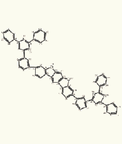 c1ccc(-c2cc(-c3cccc(-c4ccc5c(c4)oc4cc6oc7cc(-c8cccc(-c9cc(-c%10ccccc%10)nc(-c%10ccccc%10)n9)c8)ccc7c6cc45)c3)nc(-c3ccccc3)n2)cc1